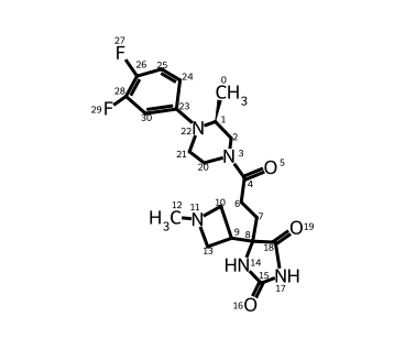 C[C@H]1CN(C(=O)CCC2(C3CN(C)C3)NC(=O)NC2=O)CCN1c1ccc(F)c(F)c1